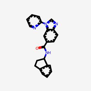 O=C(NC1CCc2ccccc21)c1ccc2ncn(-c3ccccn3)c2c1